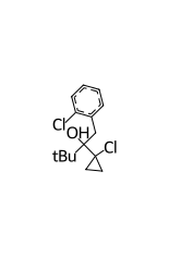 CC(C)(C)C(O)(Cc1ccccc1Cl)C1(Cl)CC1